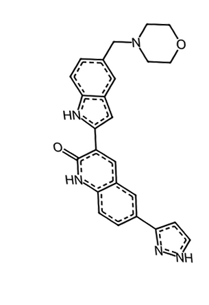 O=c1[nH]c2ccc(-c3cc[nH]n3)cc2cc1-c1cc2cc(CN3CCOCC3)ccc2[nH]1